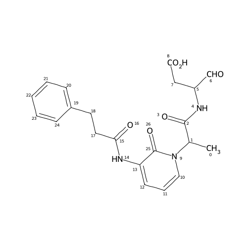 CC(C(=O)NC(C=O)CC(=O)O)n1cccc(NC(=O)CCc2ccccc2)c1=O